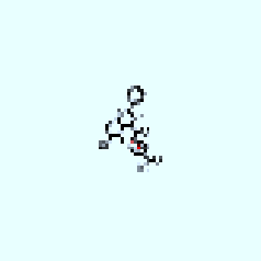 Cc1c(-c2ccccc2)nc2ccc(Br)cc2c1C(=O)NC1C2C3CC(C3)C1C2C(=O)O